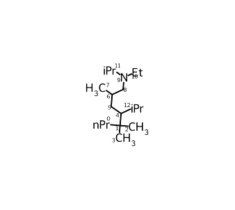 CCCC(C)(C)C(CC(C)CN(CC)C(C)C)C(C)C